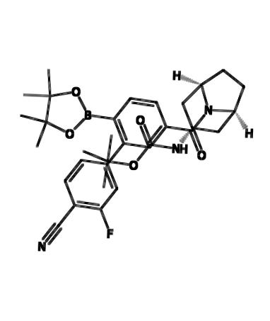 CC(C)(C)OC(=O)N[C@@H]1C[C@H]2CC[C@@H](C1)N2C(=O)c1ccc(B2OC(C)(C)C(C)(C)O2)c(-c2ccc(C#N)c(F)c2)c1